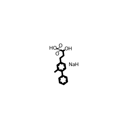 Cc1cc(CCC(O)S(=O)(=O)O)ccc1-c1ccccc1.[NaH]